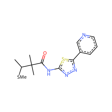 CSC(C)C(C)(C)C(=O)Nc1nnc(-c2cccnc2)s1